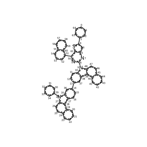 c1ccc(-c2cc3nc(-n4c5ccc(-c6ccc7c8c9ccccc9ccc8n(-c8ccccc8)c7c6)cc5c5c6ccccc6ccc54)nc(-c4cccc5ccccc45)c3s2)cc1